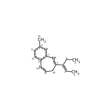 C/C=C(\CC)C1=Nc2cc(C)ccc2N=CC1